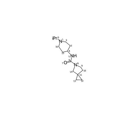 CC(C)N1CCC(NC(=O)N2CCC3(CC3)C2)CC1